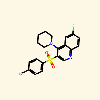 CCc1ccc(S(=O)(=O)c2cnc3ccc(F)cc3c2N2CCCCC2)cc1